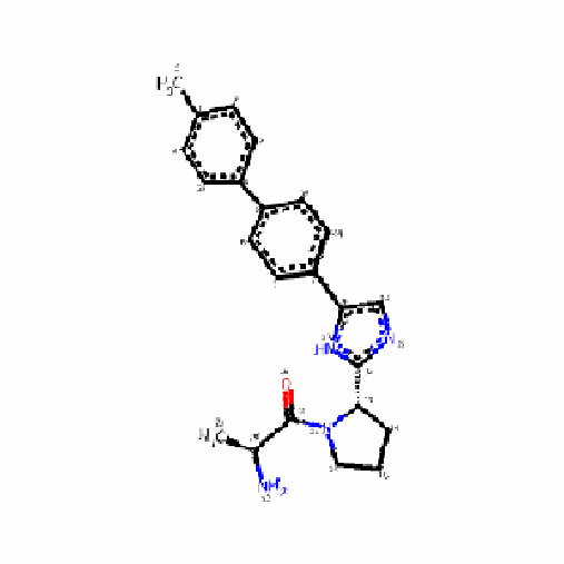 Cc1ccc(-c2ccc(-c3cnc([C@@H]4CCCN4C(=O)[C@H](C)N)[nH]3)cc2)cc1